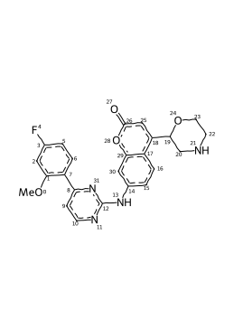 COc1cc(F)ccc1-c1ccnc(Nc2ccc3c(C4CNCCO4)cc(=O)oc3c2)n1